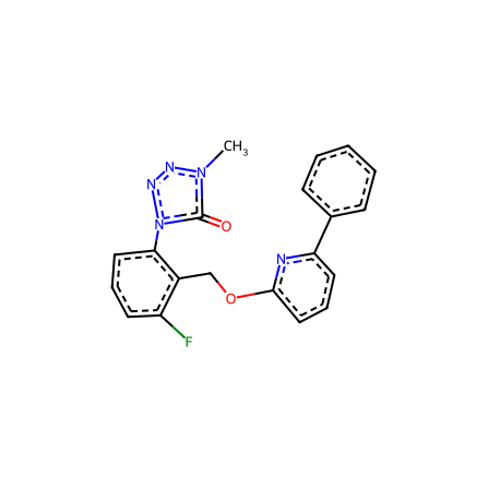 Cn1nnn(-c2cccc(F)c2COc2cccc(-c3ccccc3)n2)c1=O